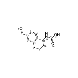 O=Cc1ccc2c(c1)CCCC2NC(=O)O